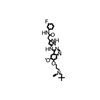 C#CN(CCCOc1cc2ncnc(Nc3cc(CC(=O)Nc4cccc(F)c4)[nH]n3)c2cc1OC)CC(C)(C)C